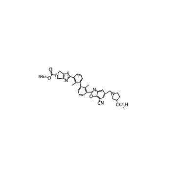 Cc1c(-c2nc3cc(CN4CCC(C(=O)O)C4)cc(C#N)c3o2)cccc1-c1cccc(-c2nc3c(s2)CN(C(=O)OC(C)(C)C)C3)c1C